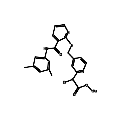 CCN(C(=O)OC(C)(C)C)c1cc(CSc2ncccc2C(=O)Nc2cc(C)cc(C)c2)ccn1